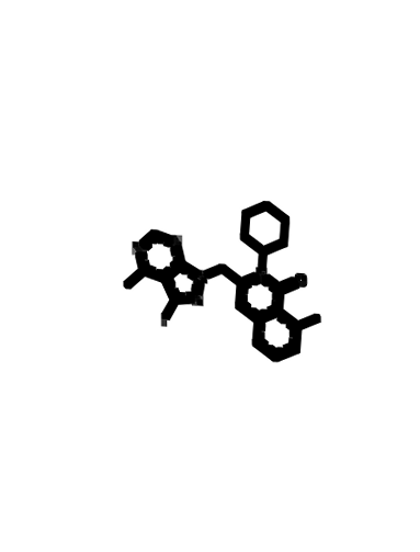 Cc1ncnc2c1c(I)nn2Cc1cc2cccc(C)c2c(=O)n1C1CCCCC1